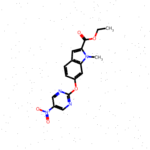 CCOC(=O)c1cc2ccc(Oc3ncc([N+](=O)[O-])cn3)cc2n1C